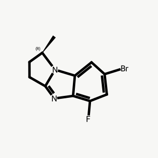 C[C@@H]1CCc2nc3c(F)cc(Br)cc3n21